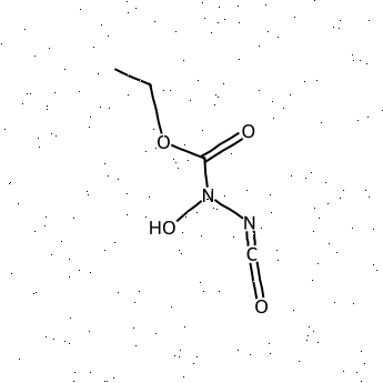 CCOC(=O)N(O)N=C=O